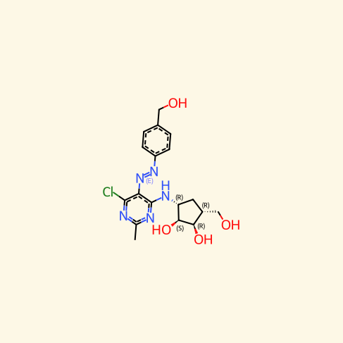 Cc1nc(Cl)c(/N=N/c2ccc(CO)cc2)c(N[C@@H]2C[C@H](CO)[C@@H](O)[C@H]2O)n1